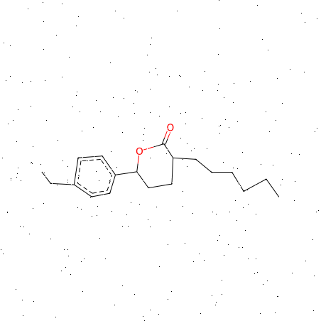 CCCCCCC1CCC(c2ccc(CC)cc2)OC1=O